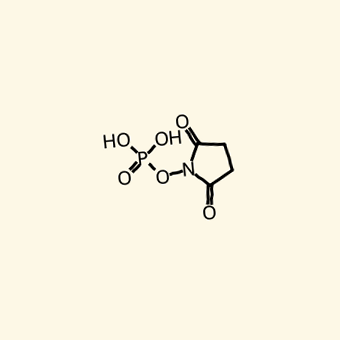 O=C1CCC(=O)N1OP(=O)(O)O